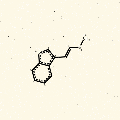 CS/C=C/c1csc2ccccc12